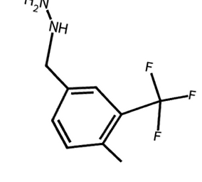 Cc1ccc(CNN)cc1C(F)(F)F